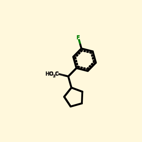 O=C(O)C(c1cccc(F)c1)C1CCCC1